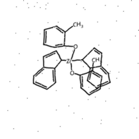 Cc1ccccc1[O][Zr]([O]c1ccccc1C)([CH]1C=Cc2ccccc21)[CH]1C=Cc2ccccc21